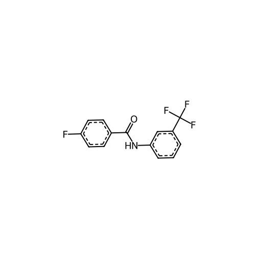 O=C(Nc1cccc(C(F)(F)F)c1)c1ccc(F)cc1